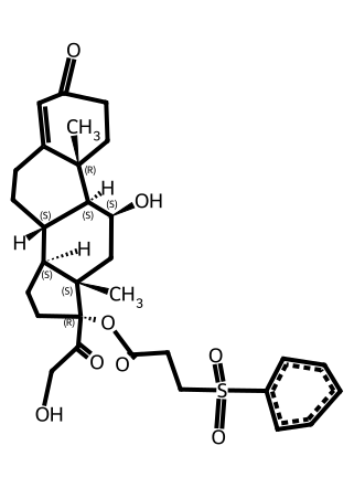 C[C@]12CCC(=O)C=C1CC[C@@H]1[C@@H]2[C@@H](O)C[C@@]2(C)[C@H]1CC[C@]2(OC(=O)CCS(=O)(=O)c1ccccc1)C(=O)CO